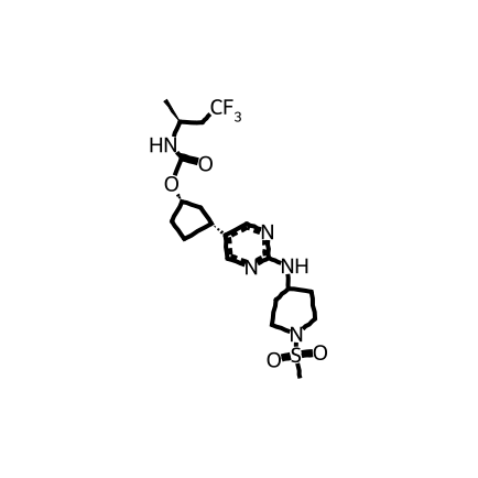 C[C@@H](CC(F)(F)F)NC(=O)O[C@H]1CC[C@@H](c2cnc(NC3CCN(S(C)(=O)=O)CC3)nc2)C1